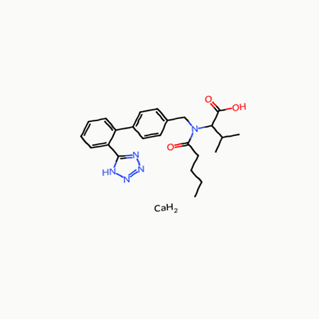 CCCCC(=O)N(Cc1ccc(-c2ccccc2-c2nnn[nH]2)cc1)C(C(=O)O)C(C)C.[CaH2]